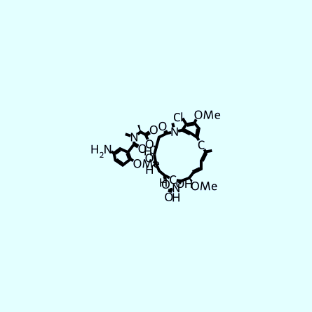 COc1ccc(N)cc1C(=O)N(C)[C@@H](C)C(=O)O[C@H]1CC(=O)N(C)c2cc(cc(OC)c2Cl)C/C(C)=C/C=C/[C@@H](OC)[C@@]2(O)C[C@@H](C[C@@H]3O[C@@H]13)OC(=O)N2